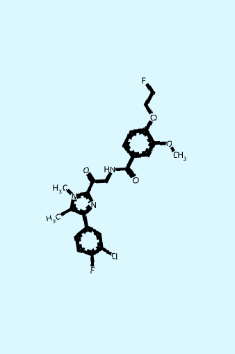 COc1cc(C(=O)NCC(=O)c2nc(-c3ccc(F)c(Cl)c3)c(C)n2C)ccc1OCCF